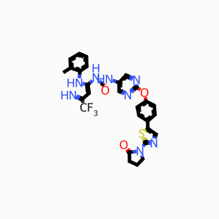 Cc1ccccc1N/C(=C\C(=N)C(F)(F)F)NC(=O)Nc1cnc(Oc2ccc(-c3cnc(N4CCCC4=O)s3)cc2)nc1